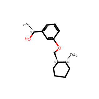 CCC[C@@H](O)c1cccc(OC[C@@H]2CCCC[C@H]2OC(C)=O)c1